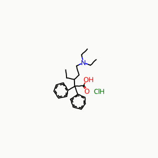 CCC(CCN(CC)CC)C(C(=O)O)(c1ccccc1)c1ccccc1.Cl